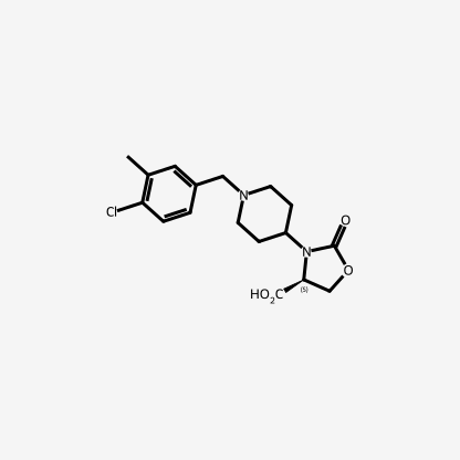 Cc1cc(CN2CCC(N3C(=O)OC[C@H]3C(=O)O)CC2)ccc1Cl